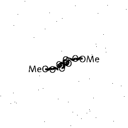 COCCOCCP1OCC2(CO1)COP(CCOCCOC)OC2